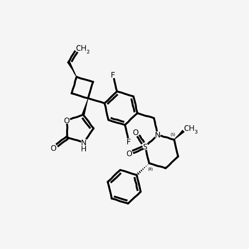 C=C[C@H]1C[C@](c2c[nH]c(=O)o2)(c2cc(F)c(CN3[C@@H](C)CC[C@H](c4ccccc4)S3(=O)=O)cc2F)C1